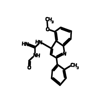 COc1cccc2nc(-c3ccccc3C)cc(NC(=N)NC=O)c12